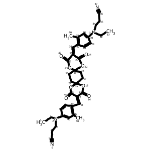 CCN(CCC#N)c1ccc(C=C2C(=O)OC3(CCC4(CC3)OC(=O)C(=Cc3ccc(N(CC)CCC#N)cc3C)C(=O)O4)OC2=O)c(C)c1